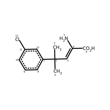 CC(C)(C=C(N)C(=O)O)c1cccc(Cl)c1